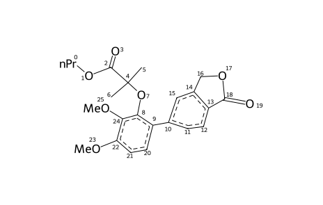 CCCOC(=O)C(C)(C)Oc1c(-c2ccc3c(c2)COC3=O)ccc(OC)c1OC